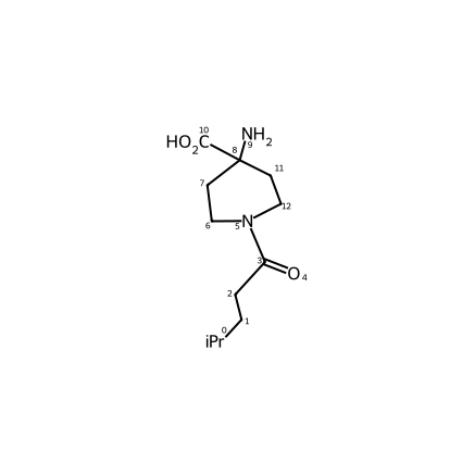 CC(C)CCC(=O)N1CCC(N)(C(=O)O)CC1